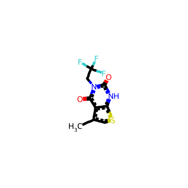 Cc1csc2[nH]c(=O)n(CC(F)(F)F)c(=O)c12